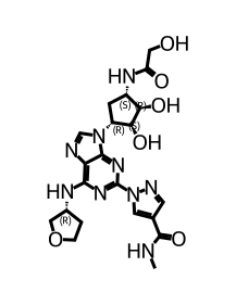 CNC(=O)c1cnn(-c2nc(N[C@@H]3CCOC3)c3ncn([C@@H]4C[C@H](NC(=O)CO)[C@@H](O)[C@H]4O)c3n2)c1